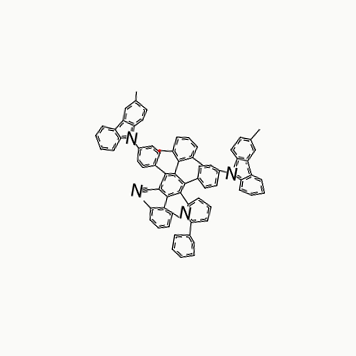 Cc1ccc2c(c1)c1ccccc1n2-c1ccc(-c2c(C#N)c(-c3c(C)cccc3C)c(-c3cccc(-c4ccccc4)n3)c(-c3ccc(-n4c5ccccc5c5cc(C)ccc54)cc3)c2-c2c(C)cccc2C)cc1